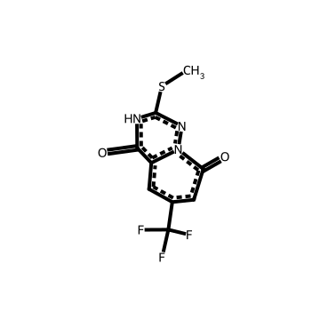 CSc1nn2c(=O)cc(C(F)(F)F)cc2c(=O)[nH]1